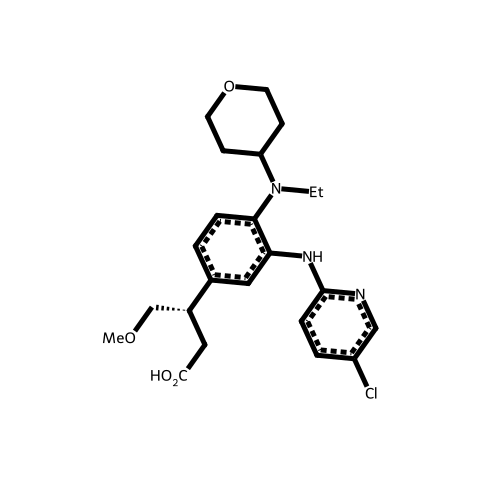 CCN(c1ccc([C@@H](COC)CC(=O)O)cc1Nc1ccc(Cl)cn1)C1CCOCC1